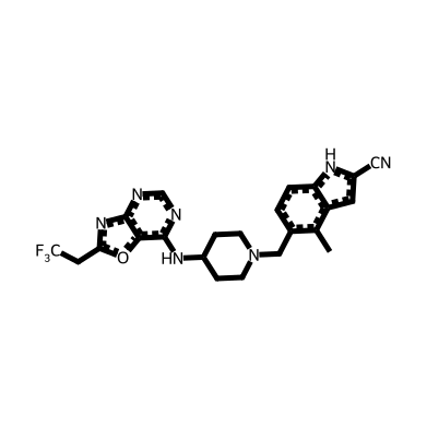 Cc1c(CN2CCC(Nc3ncnc4nc(CC(F)(F)F)oc34)CC2)ccc2[nH]c(C#N)cc12